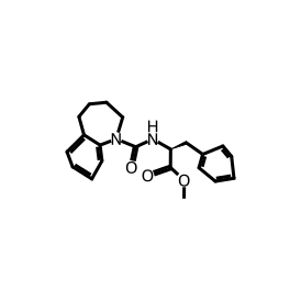 COC(=O)[C@H](Cc1ccccc1)NC(=O)N1CCCCc2ccccc21